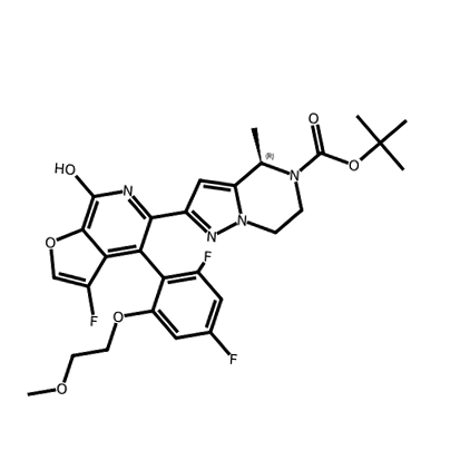 COCCOc1cc(F)cc(F)c1-c1c(-c2cc3n(n2)CCN(C(=O)OC(C)(C)C)[C@@H]3C)nc(O)c2occ(F)c12